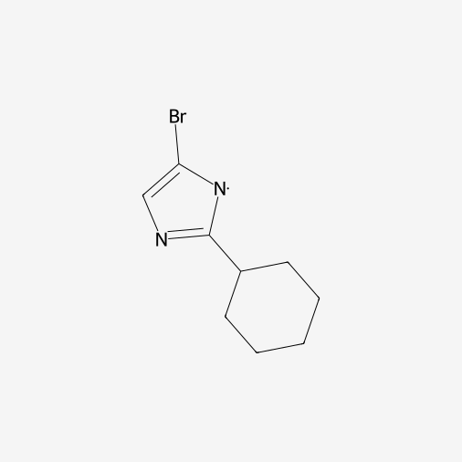 BrC1=CN=C(C2CCCCC2)[N]1